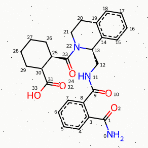 NC(=O)c1ccccc1C(=O)NC[C@@H]1c2ccccc2CCN1C(=O)[C@@H]1CCCCC1C(=O)O